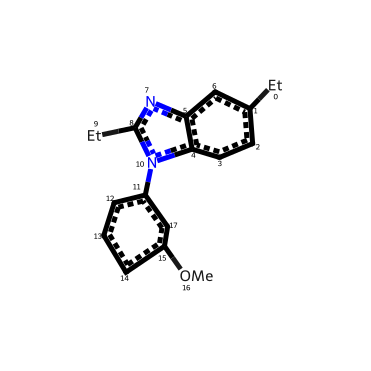 CCc1ccc2c(c1)nc(CC)n2-c1cccc(OC)c1